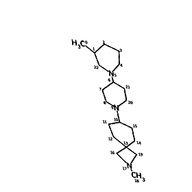 CC1CCCN(C2CCN(C3CCC4(CC3)CN(C)C4)CC2)C1